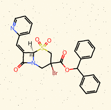 O=C1C(=Cc2ccccn2)[C@@H]2N1CC(Br)(C(=O)OC(c1ccccc1)c1ccccc1)CS2(=O)=O